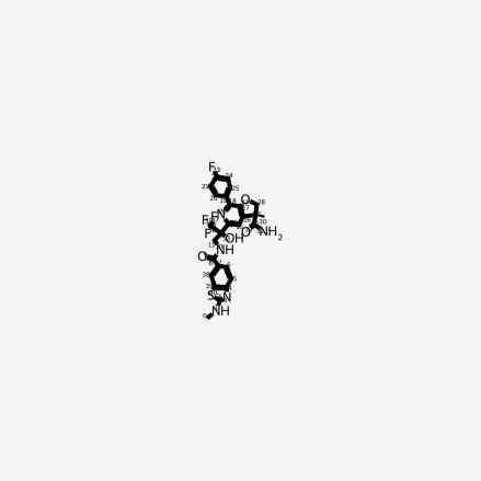 CNc1nc2ccc(C(=O)NCC(O)(c3cc4c(c(-c5ccc(F)cc5)n3)OC[C@]4(C)C(N)=O)C(F)(F)F)cc2s1